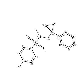 Cc1ccc(S(=O)(=O)N(C)CC2(c3ccccc3)CO2)cc1